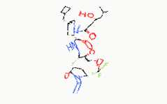 CC(C)C[C@@H](O)C(=O)N1C[C@@H](CC2CCC2)C[C@H]1C(=O)N[C@@H](C[C@@H]1CCNC1=O)C(=O)COC(F)(F)F